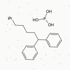 CC(C)CCCCC(c1ccccc1)c1ccccc1.OP(O)O